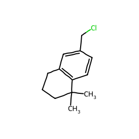 CC1(C)CCCc2cc(CCl)ccc21